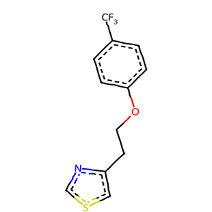 FC(F)(F)c1ccc(OCCc2cscn2)cc1